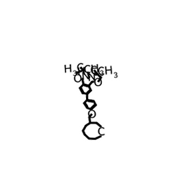 CC1(C)COC(c2ccc(-c3ccc(OCC4CCCCCCCCC4)cc3)cc2C2=NC(C)(C)CO2)=N1